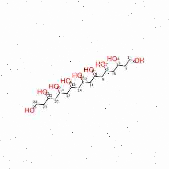 OCCC(O)CC(O)CC(O)CC(O)CC(O)CC(O)CC(O)CCO